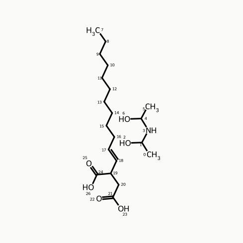 CC(O)NC(C)O.CCCCCCCCCCC=CC(CC(=O)O)C(=O)O